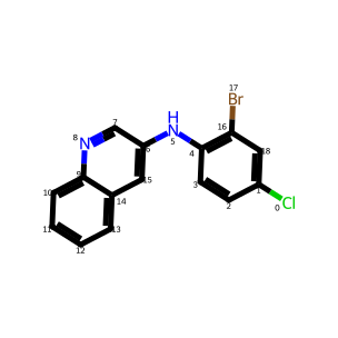 Clc1ccc(Nc2cnc3ccccc3c2)c(Br)c1